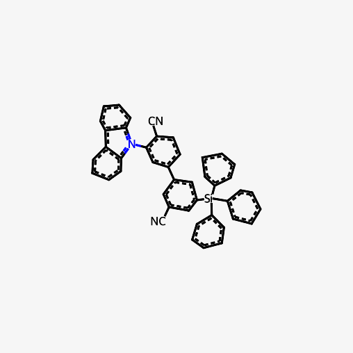 N#Cc1cc(-c2ccc(C#N)c(-n3c4ccccc4c4ccccc43)c2)cc([Si](c2ccccc2)(c2ccccc2)c2ccccc2)c1